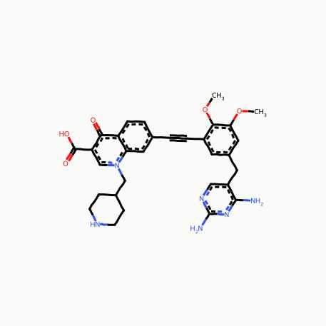 COc1cc(Cc2cnc(N)nc2N)cc(C#Cc2ccc3c(=O)c(C(=O)O)cn(CC4CCNCC4)c3c2)c1OC